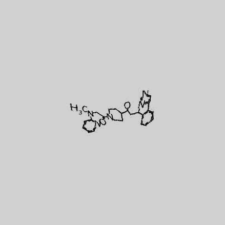 CN(CC(=O)N1CCC(C(=O)CC2c3ccccc3-c3cncn32)CC1)c1ccccn1